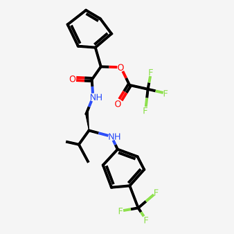 CC(C)[C@@H](CNC(=O)C(OC(=O)C(F)(F)F)c1ccccc1)Nc1ccc(C(F)(F)F)cc1